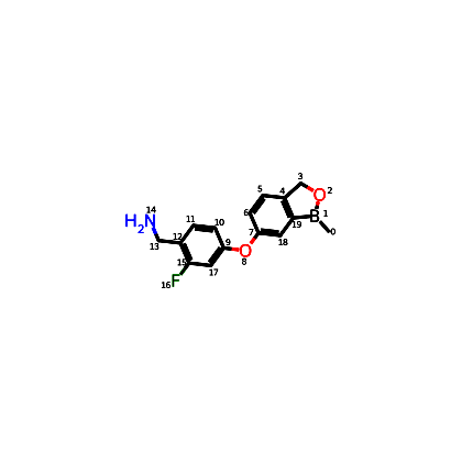 CB1OCc2ccc(Oc3ccc(CN)c(F)c3)cc21